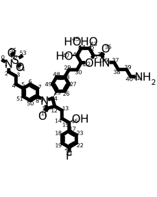 CN(CCCc1ccc(N2C(=O)C(CC[C@H](O)c3ccc(F)cc3)[C@H]2c2ccc(CCC3O[C@H](C(=O)NCCCCN)[C@@H](O)[C@H](O)[C@H]3O)cc2)cc1)S(C)(=O)=O